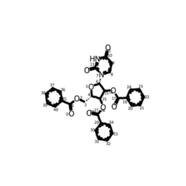 O=C(OC[C@@H]1O[C@H](n2ccc(=O)[nH]c2=O)C(OC(=O)c2ccccc2)C1OC(=O)c1ccccc1)c1ccccc1